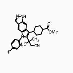 COC(=O)C1CCC(c2c(C(C)(C)CC#N)n(-c3ccc(F)cc3)c3cc4cn[nH]c4cc23)CC1